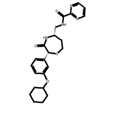 O=C(NC[C@@H]1CCS[C@H](c2cccc(OC3CCCCC3)c2)C(=O)N1)c1ncccn1